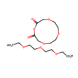 O=C(O)COCCOCCOCC(=O)O.O=C1COCCOCCOCC(=O)O1